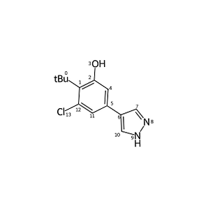 CC(C)(C)c1c(O)cc(-c2cn[nH]c2)cc1Cl